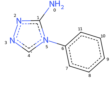 Nc1nn[c]n1-c1ccccc1